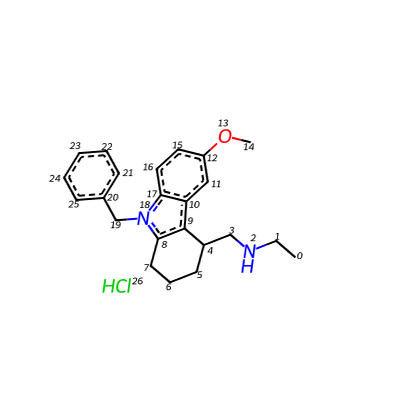 CCNCC1CCCc2c1c1cc(OC)ccc1n2Cc1ccccc1.Cl